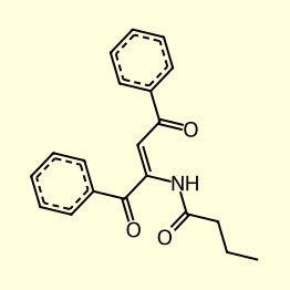 CCCC(=O)N/C(=C\C(=O)c1ccccc1)C(=O)c1ccccc1